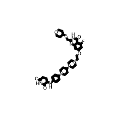 O=C1CCC(Nc2ccc(N3CCC(N4CCN(CCOc5cc(F)c6c(=O)[nH]c(CSC7CCOCC7)nc6c5)CC4)CC3)cc2)C(=O)N1